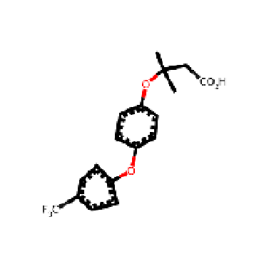 CC(C)(CC(=O)O)Oc1ccc(Oc2ccc(C(F)(F)F)cc2)cc1